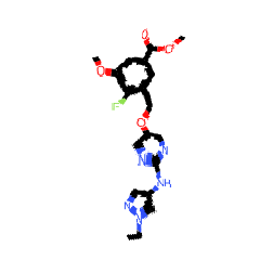 CCn1cc(Nc2ncc(OCc3cc(C(=O)OC)cc(OC)c3F)cn2)cn1